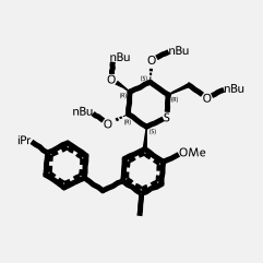 CCCCOC[C@H]1S[C@@H](c2cc(Cc3ccc(C(C)C)cc3)c(C)cc2OC)[C@H](OCCCC)[C@@H](OCCCC)[C@@H]1OCCCC